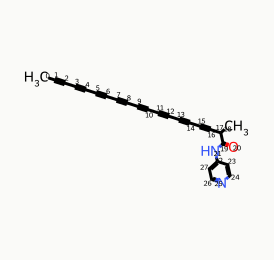 CC#CC#CC#CC#CC#CC#CC#CC#CC(C)C(=O)Nc1ccncc1